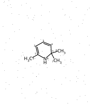 CC1=CC=CC(C)(C)N1